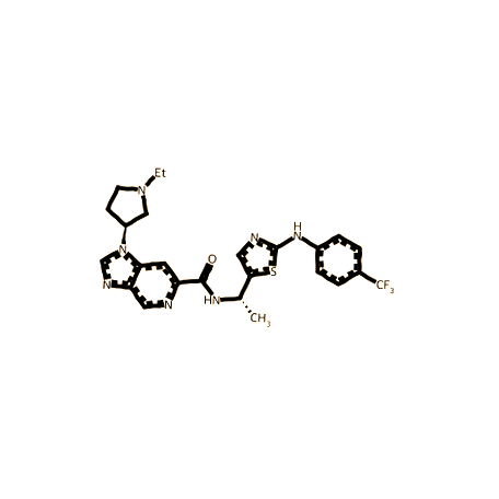 CCN1CC[C@H](n2cnc3cnc(C(=O)N[C@@H](C)c4cnc(Nc5ccc(C(F)(F)F)cc5)s4)cc32)C1